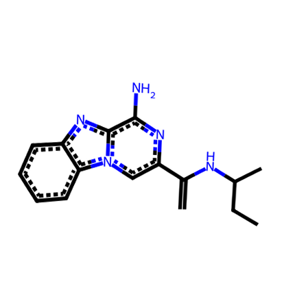 C=C(NC(C)CC)c1cn2c(nc3ccccc32)c(N)n1